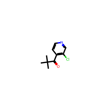 CC(C)(C)C(=O)c1ccncc1Cl